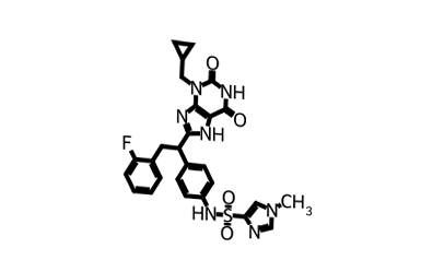 Cn1cnc(S(=O)(=O)Nc2ccc(C(Cc3ccccc3F)c3nc4c([nH]3)c(=O)[nH]c(=O)n4CC3CC3)cc2)c1